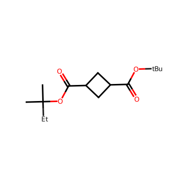 CCC(C)(C)OC(=O)C1CC(C(=O)OC(C)(C)C)C1